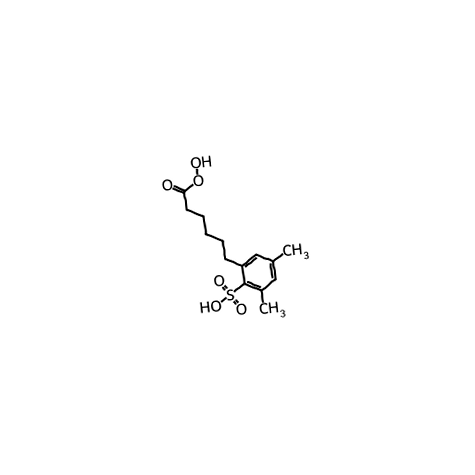 Cc1cc(C)c(S(=O)(=O)O)c(CCCCCC(=O)OO)c1